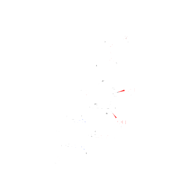 O=c1ccn([C@@H]2O[C@H](COOBr)[C@@H](O)[C@H]2O)c(=O)[nH]1